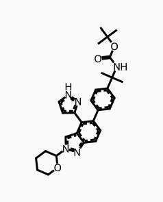 CC(C)(C)OC(=O)NC(C)(C)c1ccc(-c2ccc3nn(C4CCCCO4)cc3c2-c2cc[nH]n2)cc1